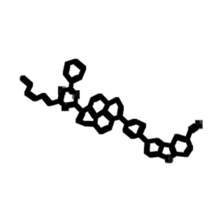 C=C/C=C\C=C\c1nc(-c2ccccc2)nc(-c2ccc3ccc4c5c3c2C=CC5CC=C4c2ccc(-c3ccc4oc5ccc(C#N)cc5c4c3)cc2)n1